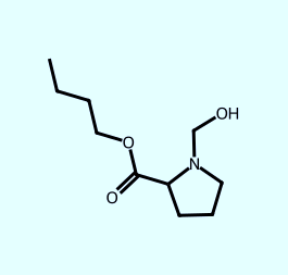 CCCCOC(=O)C1CCCN1CO